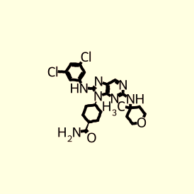 CC1(Nc2ncc3nc(Nc4cc(Cl)cc(Cl)c4)n([C@H]4CC[C@H](C(N)=O)CC4)c3n2)CCOCC1